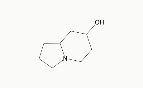 OC1CCN2CCCC2C1